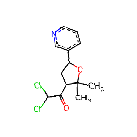 CC1(C)OC(c2cccnc2)CC1C(=O)C(Cl)Cl